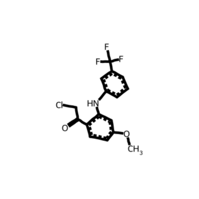 COc1ccc(C(=O)CCl)c(Nc2cccc(C(F)(F)F)c2)c1